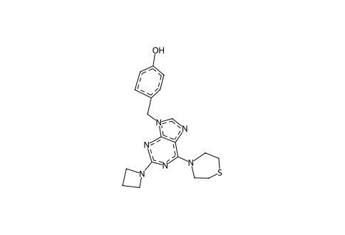 Oc1ccc(Cn2cnc3c(N4CCSCC4)nc(N4CCC4)nc32)cc1